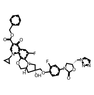 O=C(OCc1ccccc1)c1cn(C2CC2)c2c3c(c(F)cc2c1=O)N1C[C@@](O)(COc2ccc(N4C[C@H](Cn5ccnn5)OC4=O)cc2F)C[C@@H]1CO3